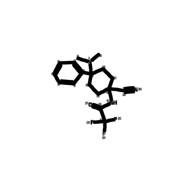 CN(C)C1(c2ccccc2)CCC(C#N)(NC(=O)C(F)(F)F)CC1